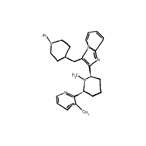 Cc1cccnc1[C@@H]1CCC[C@H](c2nc3ccccn3c2CC2CCN(C(C)C)CC2)N1C